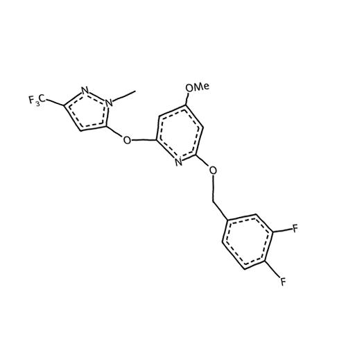 COc1cc(OCc2ccc(F)c(F)c2)nc(Oc2cc(C(F)(F)F)nn2C)c1